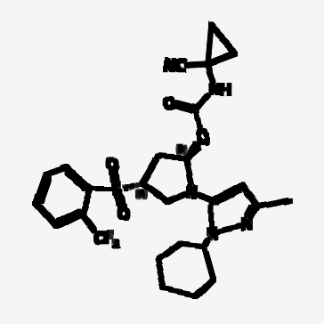 Cc1cc(N2C[C@H](S(=O)(=O)c3ccccc3C(F)(F)F)C[C@H]2OC(=O)NC2(C#N)CC2)n(C2CCCCC2)n1